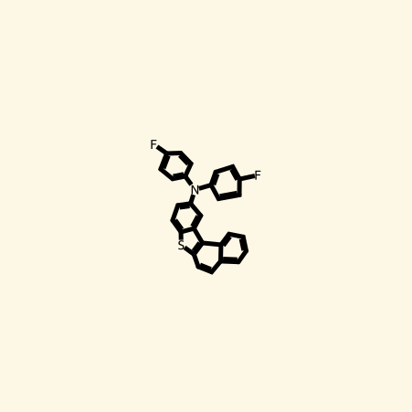 Fc1ccc(N(c2ccc(F)cc2)c2ccc3sc4ccc5ccccc5c4c3c2)cc1